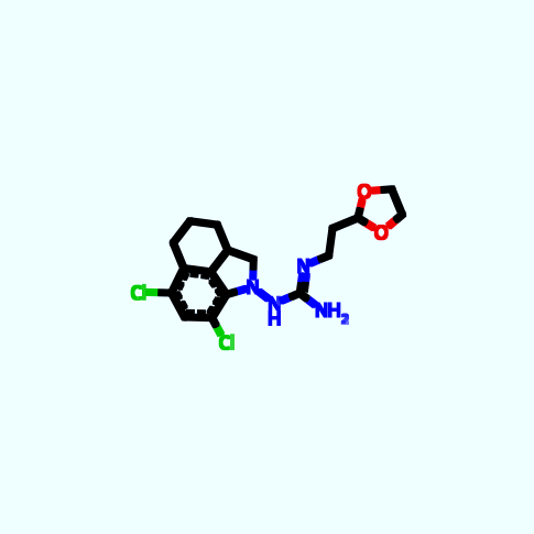 NC(=NCCC1OCCO1)NN1CC2CCCc3c(Cl)cc(Cl)c1c32